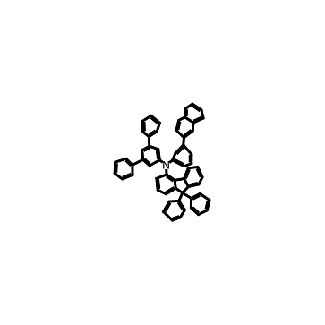 c1ccc(-c2cc(-c3ccccc3)cc(N(c3cccc(-c4ccc5ccccc5c4)c3)c3cccc4c3-c3ccccc3C4(c3ccccc3)c3ccccc3)c2)cc1